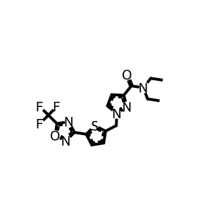 CCN(CC)C(=O)c1ccn(Cc2ccc(-c3noc(C(F)(F)F)n3)s2)n1